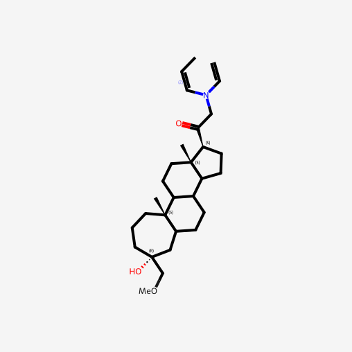 C=CN(/C=C\C)CC(=O)[C@H]1CCC2C3CCC4C[C@@](O)(COC)CCC[C@]4(C)C3CC[C@@]21C